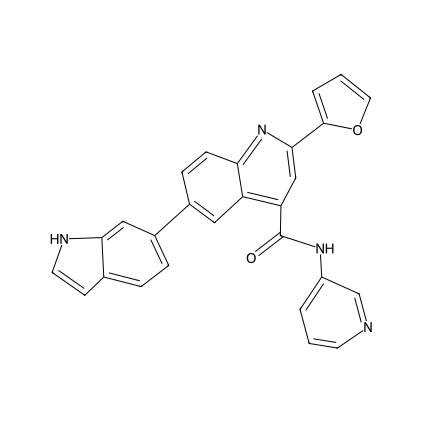 O=C(Nc1cccnc1)c1cc(-c2ccco2)nc2ccc(-c3ccc4cc[nH]c4c3)cc12